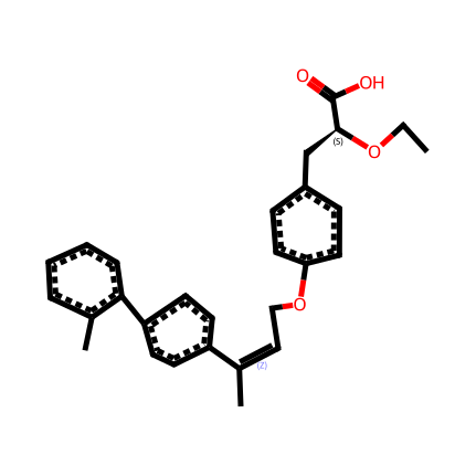 CCO[C@@H](Cc1ccc(OC/C=C(/C)c2ccc(-c3ccccc3C)cc2)cc1)C(=O)O